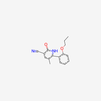 CCCOc1ccccc1-c1[nH]c(=O)c(C#N)cc1C